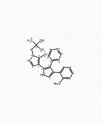 COc1ccccc1-c1c[nH]c(-c2cnn(CC(C)(C)O)c2C(F)(F)F)c1-c1ccncn1